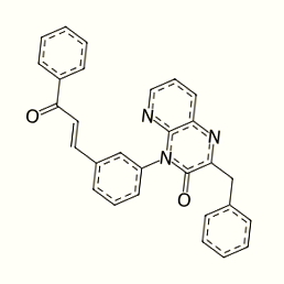 O=C(C=Cc1cccc(-n2c(=O)c(Cc3ccccc3)nc3cccnc32)c1)c1ccccc1